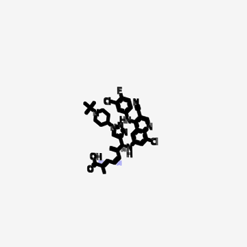 C=C(/C=C\C=C(/C)C(=O)O)[C@H](Nc1cc(Cl)c2ncc(C#N)c(Nc3ccc(F)c(Cl)c3)c2c1)c1cn(C2CCN(C(C)(C)C)CC2)nn1